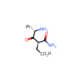 CC(C)[C@H](N)C(=O)[C@H](CC(=O)O)C(N)=O